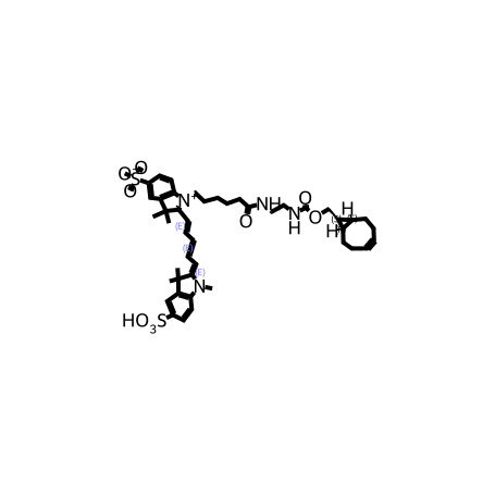 CN1/C(=C/C=C/C=C/C2=[N+](CCCCCC(=O)NCCNC(=O)OC[C@@H]3[C@@H]4CCC#CCC[C@@H]43)c3ccc(S(=O)(=O)[O-])cc3C2(C)C)C(C)(C)c2cc(S(=O)(=O)O)ccc21